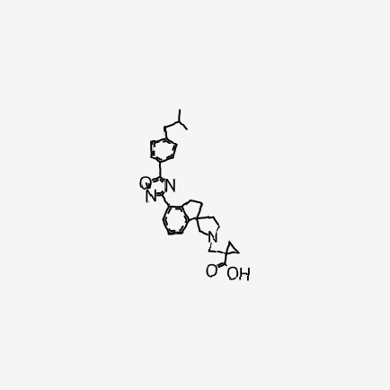 CC(C)Cc1ccc(-c2nc(-c3cccc4c3CCC43CCN(CC4(C(=O)O)CC4)C3)no2)cc1